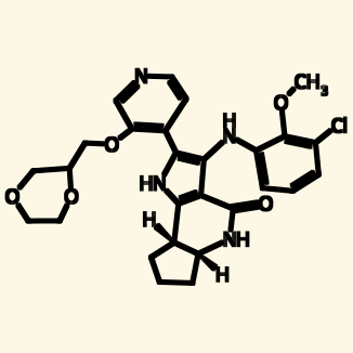 COc1c(Cl)cccc1Nc1c(-c2ccncc2OCC2COCCO2)[nH]c2c1C(=O)N[C@@H]1CCC[C@H]21